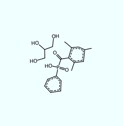 Cc1cc(C)c(C(=O)P(=O)(O)c2ccccc2)c(C)c1.OCC(O)CO